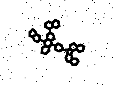 c1ccc2cc(-c3c4ccccc4c(-c4ccc(-n5c6ccc7ccccc7c6c6c7ccccc7ccc65)cc4)c4ccc(-c5cccc6ccccc56)cc34)ccc2c1